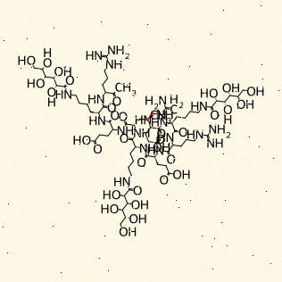 C=C(N)NCCC[C@H](NC(=O)C(CCCCNC(=O)[C@H](O)[C@@H](O)[C@H](O)[C@H](O)CO)NC(=O)[C@H](CCC(=O)O)NC(=O)C(CCCNC(=N)N)NC(=O)[C@H](CCCCNC(=O)[C@H](O)[C@@H](O)[C@H](O)[C@H](O)CO)NC(=O)C(CCC(=O)O)NC)C(=O)NC(CCC(=O)O)C(=O)N[C@@H](CCCCNC(=O)[C@H](O)[C@@H](O)[C@H](O)[C@H](O)CO)C(=O)NC(CCCNC(=N)N)C(C)=O